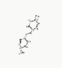 CC(C)c1ccc(/C=C/c2ccc(F)cc2)cc1